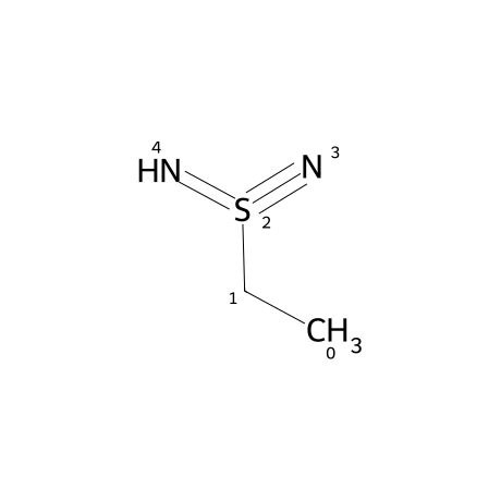 CCS(#N)=N